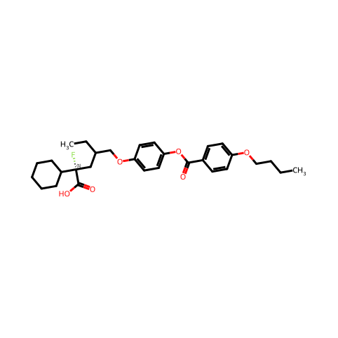 CCCCOc1ccc(C(=O)Oc2ccc(OCC(CC)C[C@@](F)(C(=O)O)C3CCCCC3)cc2)cc1